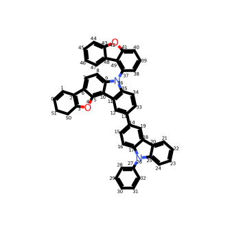 C1=Cc2c(oc3c2ccc2c3c3cc(-c4ccc5c(c4)c4ccccc4n5-c4ccccc4)ccc3n2-c2cccc3oc4ccccc4c23)CC1